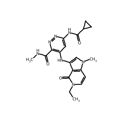 CCn1ccc2c(c(Nc3cc(NC(=O)C4CC4)nnc3C(=O)NC)cn2C)c1=O